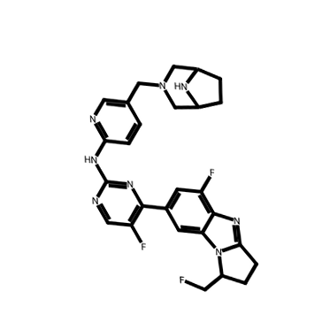 FCC1CCc2nc3c(F)cc(-c4nc(Nc5ccc(CN6CC7CCC(C6)N7)cn5)ncc4F)cc3n21